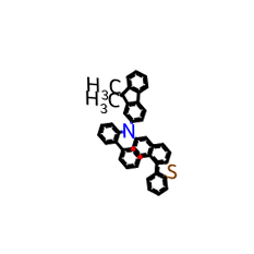 CC1(C)c2ccccc2-c2ccc(N(c3ccc4c(ccc5sc6ccccc6c54)c3)c3ccccc3-c3ccccc3)cc21